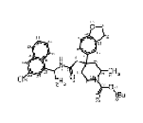 CC(NC(=O)CC1(c2ccc3c(c2)CCO3)CCN(C(=O)OC(C)(C)C)C(C)C1)c1cc(Cl)cc2ccccc12